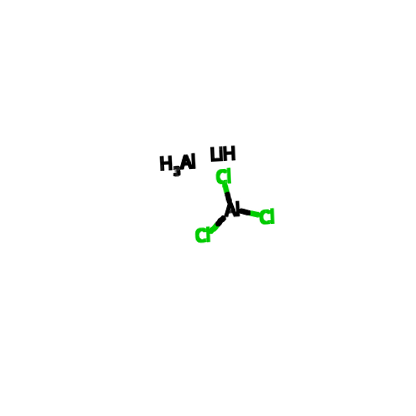 [AlH3].[Cl][Al]([Cl])[Cl].[LiH]